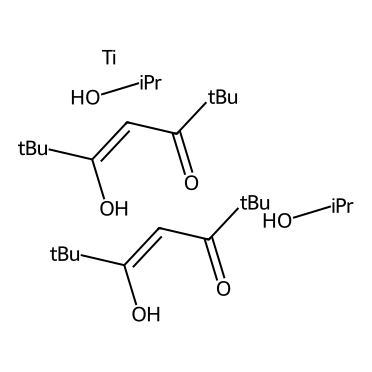 CC(C)(C)C(=O)C=C(O)C(C)(C)C.CC(C)(C)C(=O)C=C(O)C(C)(C)C.CC(C)O.CC(C)O.[Ti]